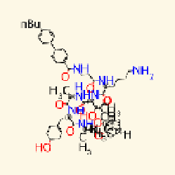 CCCCc1ccc(-c2ccc(C(=O)NCCC(=O)N[C@@H](CCCCN)C(=O)N[C@H](C(=O)N[C@@H](C)C(=O)N[C@@H](Cc3ccc(O)cc3)C(=O)N[C@@H](C)B3OC4C[C@@H]5C[C@@H](C5(C)C)[C@]4(C)O3)[C@@H](C)O)cc2)cc1